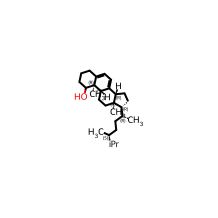 CC(C)[C@@H](C)CC[C@@H](C)[C@H]1CC[C@H]2C3=CC=C4CCCC(O)[C@]4(C)[C@H]3CC[C@]12C